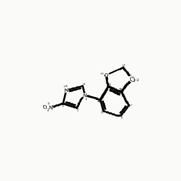 O=[N+]([O-])c1cn(-c2cccc3c2OCO3)cn1